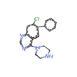 Clc1cc2ncnc(N3CCNCC3)c2cc1-c1ccccc1